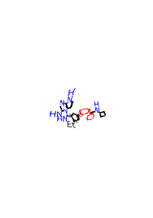 CC[C@@H]1C[C@H](OC(=O)NC2CCC2)C[C@@H]1C(=N)n1c(=N)cnc2[nH]ccc21